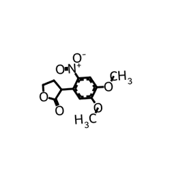 COc1cc(C2CCOC2=O)c([N+](=O)[O-])cc1OC